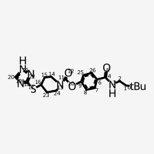 CC(C)(C)CCNC(=O)c1ccc(OC(=O)N2CCC(Sc3nc[nH]n3)CC2)cc1